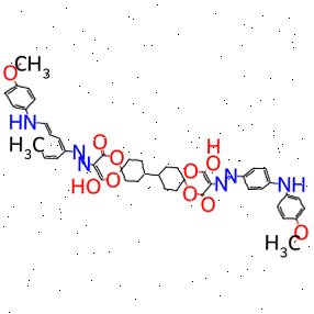 C\C=C/C(=C\C=C\Nc1ccc(OC)cc1)/N=N/C1=C(O)OC2(CCC(C3CCC4(CC3)OC(=O)C(/N=N/c3ccc(Nc5ccc(OC)cc5)cc3)=C(O)O4)CC2)OC1=O